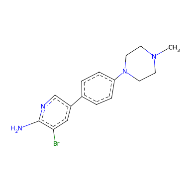 CN1CCN(c2ccc(-c3cnc(N)c(Br)c3)cc2)CC1